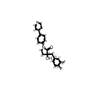 O=C1N(c2ccc(-c3ccncc3)cc2)CCC1(O)Cc1ccc(F)c(F)c1